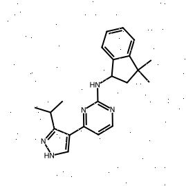 CC(C)c1n[nH]cc1-c1ccnc(NC2CC(C)(C)c3ccccc32)n1